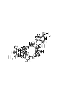 Nc1nc2c(ncn2[C@@H]2CC34CC[C@]2(O)[C@@H]3OP(=O)(O)OC[C@H]2O[C@@H](c3snc5c(N)ncnc35)[C@H](O)[C@@H]2OP(=O)(O)OC4)c(=O)[nH]1